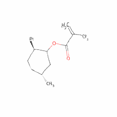 C=C(C(=O)OC1C[C@H](C)CC[C@H]1C(C)C)C(F)(F)F